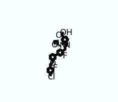 O=C(O)c1ccc2nc(Cc3ccc(-c4cccc(OCc5ccc(Cl)cc5F)c4)cc3F)n(C[C@@H]3CCO3)c2c1